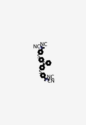 [C-]#[N+]/C(C#N)=C(/C)c1ccc(Sc2ccc([S+](c3ccccc3)c3ccc(Sc4ccc(/C(C)=C(\C#N)[N+]#[C-])cc4)cc3)cc2)cc1